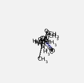 CCCCCCCCCCCCCCCC(O)OC(CC(OC(=O)C1OC1CC1CC(=O)OC(C(C)C)C1)C(C)C(OC)/C(C)=C/C=C/C(C)=C/c1coc(C)n1)C1(C)OC1C